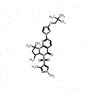 Cc1nn(C)cc1S(=O)(=O)N1C(=O)c2ccc(-n3ccc(OCC(C)(C)C(F)(F)F)n3)nc2N2C1C(C)CC2(C)C